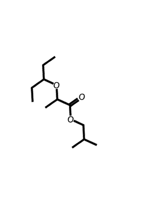 CCC(CC)OC(C)C(=O)OCC(C)C